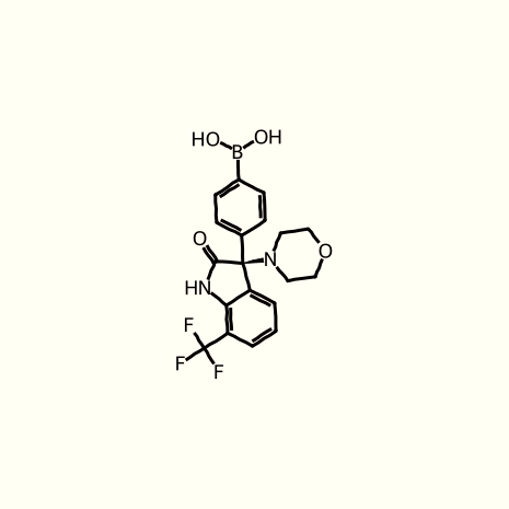 O=C1Nc2c(C(F)(F)F)cccc2[C@]1(c1ccc(B(O)O)cc1)N1CCOCC1